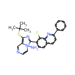 CC(C)(C)SC1=C2C=NC=C[N+]2(N)C(c2ccc3ccc(-c4ccccc4)nc3c2F)=N1